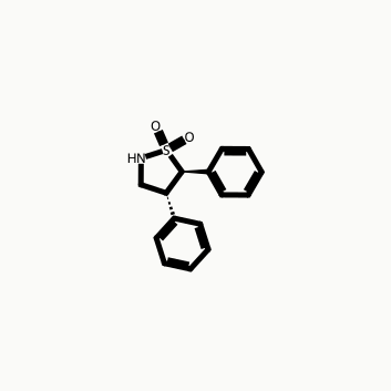 O=S1(=O)NC[C@@H](c2ccccc2)[C@@H]1c1ccccc1